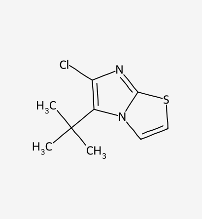 CC(C)(C)c1c(Cl)nc2sccn12